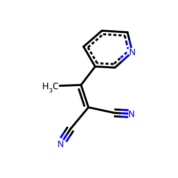 CC(=C(C#N)C#N)c1cccnc1